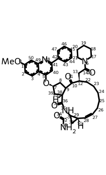 COc1ccc2c(O[C@H]3CC4C(=O)[C@@H](CC(=O)N5CCCCC5)CCCCC/C=C\[C@@H]5C[C@@]5(C(N)=O)NC(=O)[C@@H]4C3)cc(-c3ccccc3)nc2c1